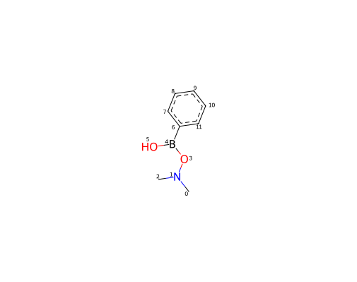 CN(C)OB(O)c1ccccc1